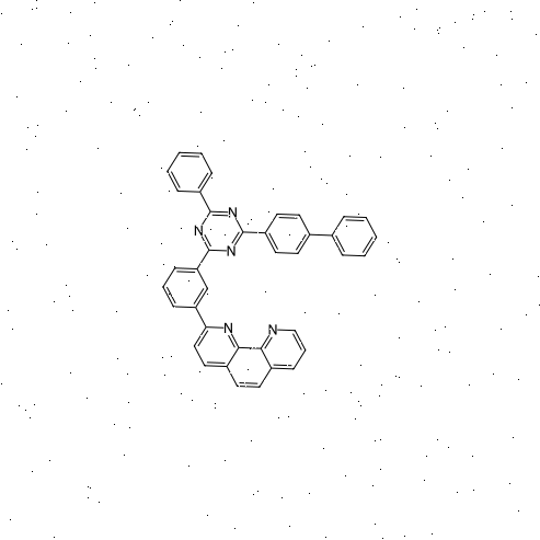 c1ccc(-c2ccc(-c3nc(-c4ccccc4)nc(-c4cccc(-c5ccc6ccc7cccnc7c6n5)c4)n3)cc2)cc1